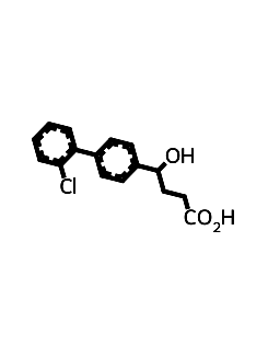 O=C(O)CCC(O)c1ccc(-c2ccccc2Cl)cc1